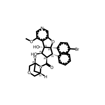 COc1cncc2c1[C@]1(O)[C@H](O)[C@H](C(=O)N3[C@@H]4COC[C@H]3C4)[C@@H](c3ccccc3)[C@]1(c1ccc(Br)cc1)O2